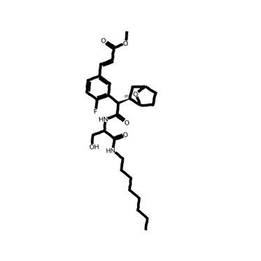 CCCCCCCCNC(=O)C(CO)NC(=O)C(c1cc(C=CC(=O)OC)ccc1F)[C@H]1CC2CCC1O2